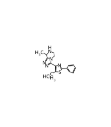 Cc1sc(-c2ccccc2)nc1-c1nnc2n1CCNC2C.Cl